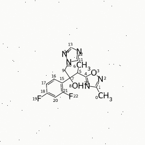 Cc1noc(C(C)C(O)(Cn2cncn2)c2ccc(F)cc2F)n1